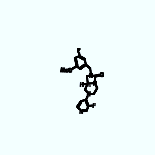 COc1cc(F)cc(CN2C[C@H]3CN(c4ccncc4F)CCN3C2=O)c1